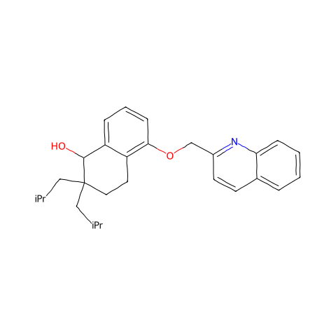 CC(C)CC1(CC(C)C)CCc2c(OCc3ccc4ccccc4n3)cccc2C1O